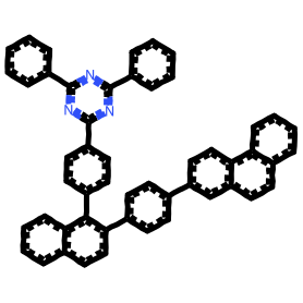 c1ccc(-c2nc(-c3ccccc3)nc(-c3ccc(-c4c(-c5ccc(-c6ccc7c(ccc8ccccc87)c6)cc5)ccc5ccccc45)cc3)n2)cc1